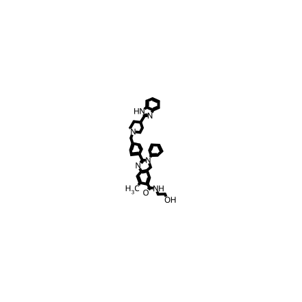 Cc1cc2c(cc1C(=O)NCCO)CN(c1ccccc1)C(c1ccc(CN3CCC(c4nc5ccccc5[nH]4)CC3)cc1)=N2